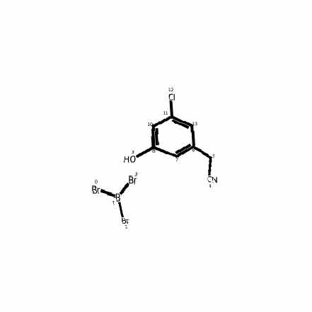 BrB(Br)Br.N#CCc1cc(O)cc(Cl)c1